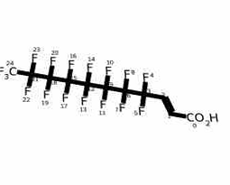 O=C(O)C=CC(F)(F)C(F)(F)C(F)(F)C(F)(F)C(F)(F)C(F)(F)C(F)(F)C(F)(F)F